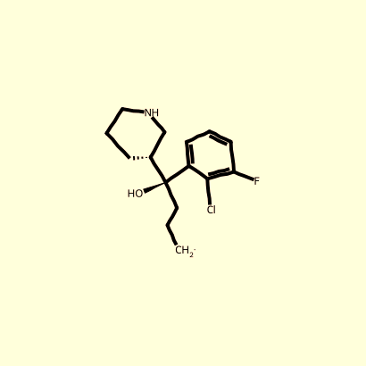 [CH2]CC[C@@](O)(c1cccc(F)c1Cl)[C@@H]1CCCNC1